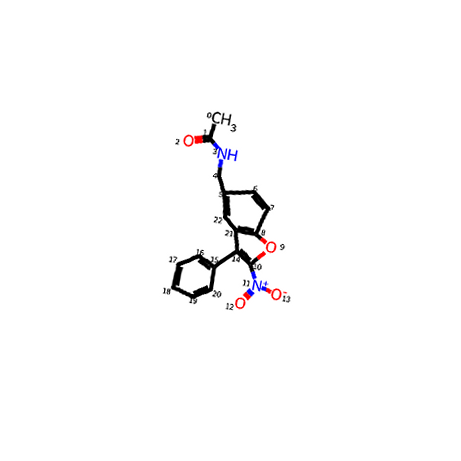 CC(=O)NCc1ccc2oc([N+](=O)[O-])c(-c3ccccc3)c2c1